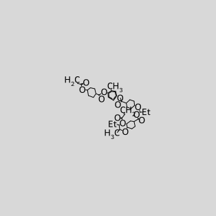 C=CC(=O)OC1CCC(C(=O)Oc2ccc(OC(=O)C3CCC(OC(CC)OC(=O)C4CCC(OC(C)C(CC)OC(=O)C=C)CC4)CC3)cc2C)CC1